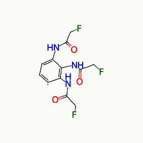 O=C(CF)Nc1[c]ccc(NC(=O)CF)c1NC(=O)CF